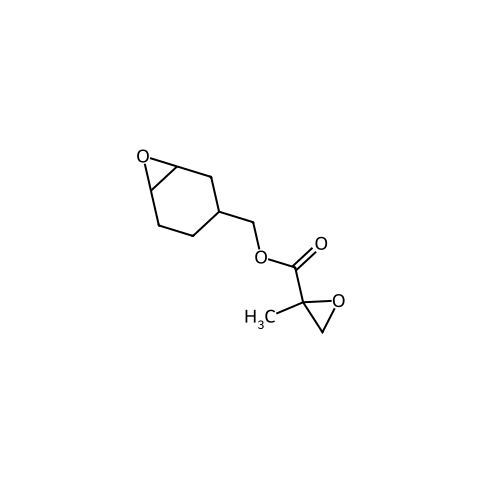 CC1(C(=O)OCC2CCC3OC3C2)CO1